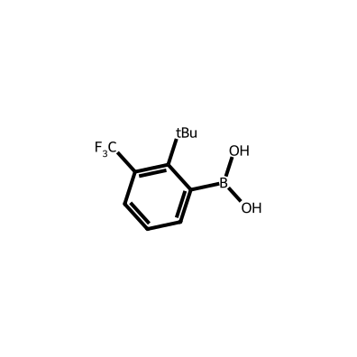 CC(C)(C)c1c(B(O)O)cccc1C(F)(F)F